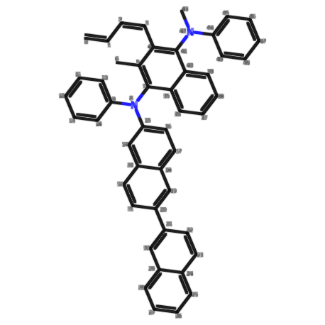 C=C/C=C\c1c(C)c(N(c2ccccc2)c2ccc3cc(-c4ccc5ccccc5c4)ccc3c2)c2ccccc2c1N(C)c1ccccc1